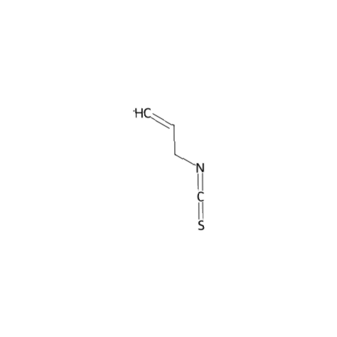 [CH]=CCN=C=S